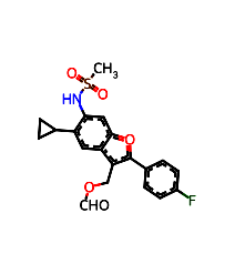 CS(=O)(=O)Nc1cc2oc(-c3ccc(F)cc3)c(COC=O)c2cc1C1CC1